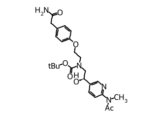 CC(=O)N(C)c1ccc([C@@H](O)CN(CCOc2ccc(CC(N)=O)cc2)C(=O)OC(C)(C)C)cn1